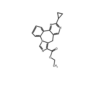 CCOC(=O)c1ncn2c1Cc1cnc(C3CC3)nc1-c1ccccc1-2